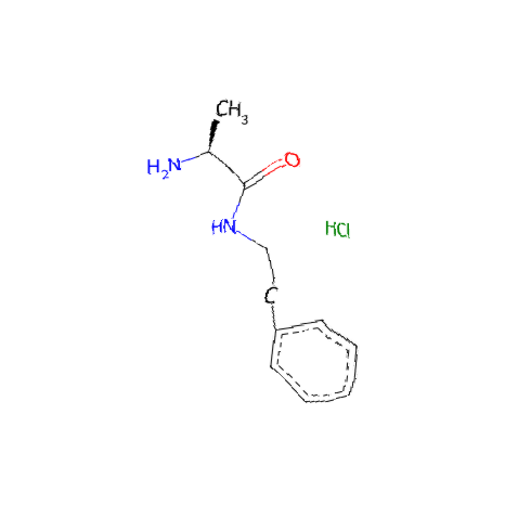 C[C@H](N)C(=O)NCCc1ccccc1.Cl